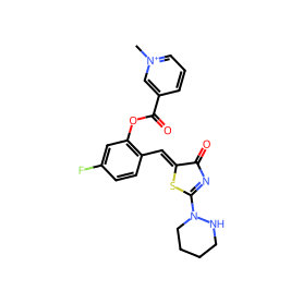 C[n+]1cccc(C(=O)Oc2cc(F)ccc2/C=C2\SC(N3CCCCN3)=NC2=O)c1